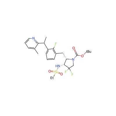 CCS(=O)(=O)N[C@@H]1[C@H](Cc2cccc(C(C)c3ncccc3C)c2F)N(C(=O)OC(C)(C)C)CC1(F)F